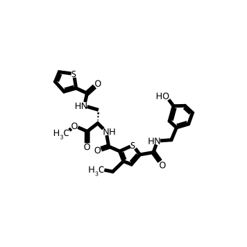 CCc1cc(C(=O)NCc2cccc(O)c2)sc1C(=O)N[C@@H](CNC(=O)c1cccs1)C(=O)OC